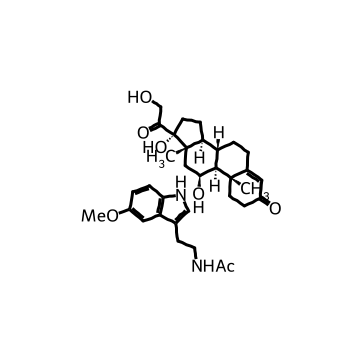 COc1ccc2[nH]cc(CCNC(C)=O)c2c1.C[C@]12CCC(=O)C=C1CC[C@@H]1[C@@H]2[C@@H](O)C[C@@]2(C)[C@H]1CC[C@]2(O)C(=O)CO